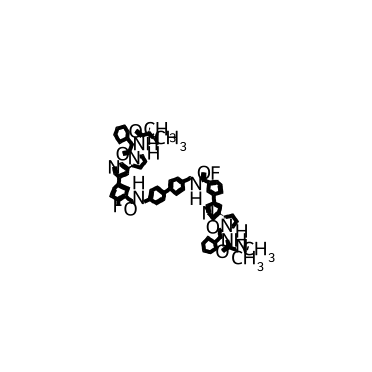 CN[C@@H](C)C(=O)N[C@H](C(=O)N1CCC[C@H]1c1cncc(-c2ccc(F)c(C(=O)NCc3ccc(-c4ccc(CNC(=O)c5cc(-c6cncc([C@@H]7CCCN7C(=O)[C@@H](NC(=O)[C@H](C)NC)C7CCCCC7)c6)ccc5F)cc4)cc3)c2)c1)C1CCCCC1